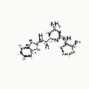 Nc1cc(Nc2ccccc2F)nc(C(=O)NC2Cc3ccccc3C2)c1